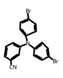 N#Cc1cccc(N(c2ccc(Br)cc2)c2ccc(Br)cc2)c1